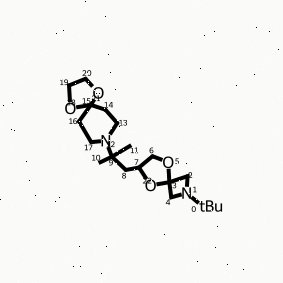 CC(C)(C)N1CC2(C1)OCC(CC(C)(C)N1CCC3(CC1)OCCO3)O2